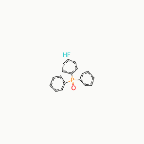 F.O=P(c1ccccc1)(c1ccccc1)c1ccccc1